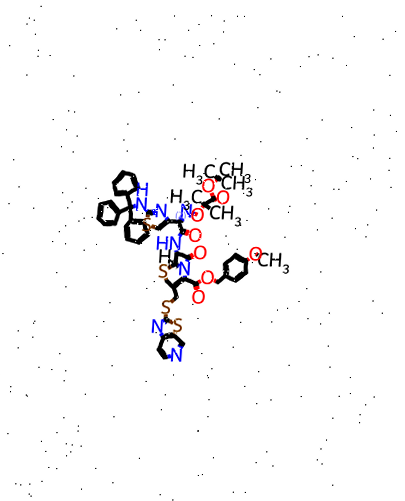 COc1ccc(COC(=O)C2=C(CSc3nc4ccncc4s3)CS[C@H]3C(NC(=O)/C(=N\OC(C)(C)C(=O)OC(C)(C)C)c4csc(NC(c5ccccc5)(c5ccccc5)c5ccccc5)n4)C(=O)N23)cc1